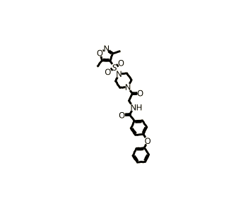 Cc1noc(C)c1S(=O)(=O)N1CCN(C(=O)CNC(=O)c2ccc(Oc3ccccc3)cc2)CC1